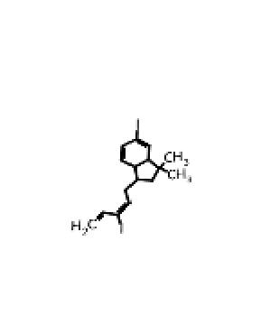 C=C/C(I)=C\CC1CC(C)(C)C2C=C(I)C=CC12